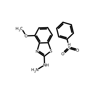 COc1cccc2sc(NN)nc12.O=[SH](=O)c1ccccc1